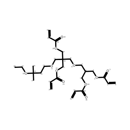 C=CC(=O)OCC(COCC(COCCC(C)(C)OCC)(COC(=O)C=C)COC(=O)C=C)COC(=O)C=C